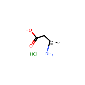 C[C@H](N)CC(=O)O.Cl